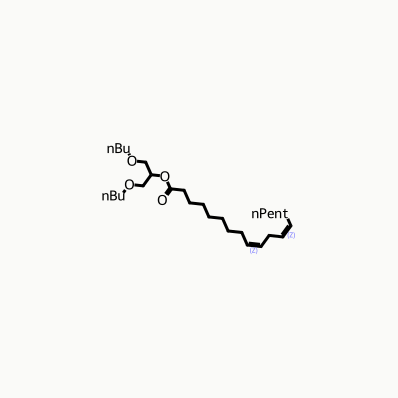 CCCCC/C=C\C/C=C\CCCCCCCC(=O)OC(COCCCC)COCCCC